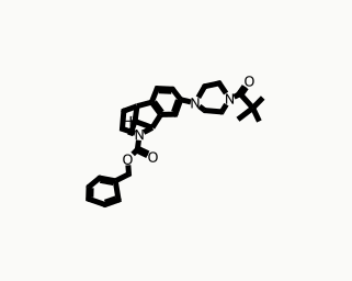 C[C@H]1C2CCN(C(=O)OCc3ccccc3)C1c1cc(N3CCN(C(=O)C(C)(C)C)CC3)ccc12